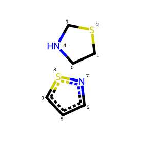 C1CSCN1.c1cnsc1